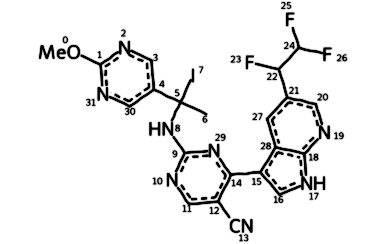 COc1ncc(C(C)(I)Nc2ncc(C#N)c(-c3c[nH]c4ncc(C(F)C(F)F)cc34)n2)cn1